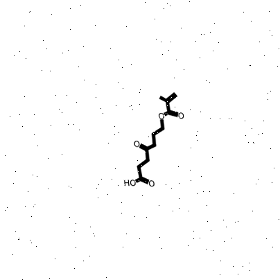 C=C(C)C(=O)OCCCC(=O)CCC(=O)O